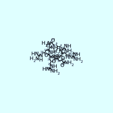 N=C(N)NCCC[C@H](NC(=O)[C@H](CCCNC(=N)N)NC(=O)[C@H](CCCNC(=N)N)NC(=O)[C@H](CCC(N)=O)NC(=O)[C@@H](N)CCCNC(=N)N)C(N)=O